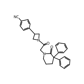 N#Cc1ccc(C2CN(C(=O)CN3CCCC(c4ccccc4)(c4ccccc4)C3=O)C2)cc1